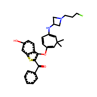 CC1(C)C=C(NC2CN(CCCF)C2)C=CC(Oc2c(C(=O)c3ccccc3)sc3cc(O)ccc23)=C1